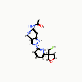 CC(=O)Nc1cc2nn(-c3cccc(C4(CF)CCOC4)n3)cc2cn1